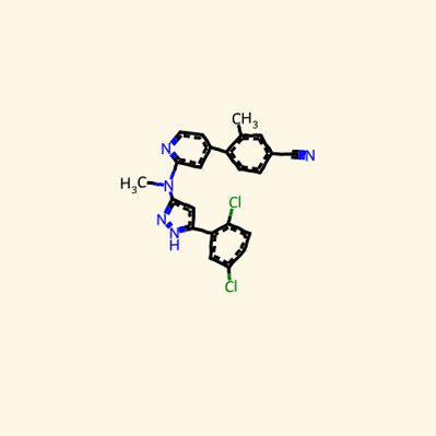 Cc1cc(C#N)ccc1-c1ccnc(N(C)c2cc(-c3cc(Cl)ccc3Cl)[nH]n2)c1